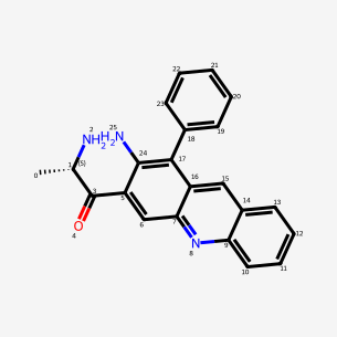 C[C@H](N)C(=O)c1cc2nc3ccccc3cc2c(-c2ccccc2)c1N